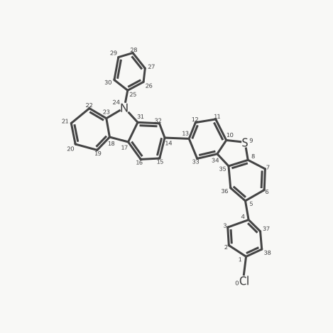 Clc1ccc(-c2ccc3sc4ccc(-c5ccc6c7ccccc7n(-c7ccccc7)c6c5)cc4c3c2)cc1